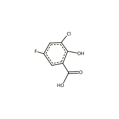 O=C(O)c1cc(F)cc(Cl)c1O